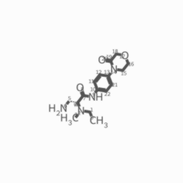 CCN(C)[C@H](CN)C(=O)Nc1ccc(N2CCOCC2=O)cc1